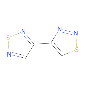 c1snnc1-c1cnsn1